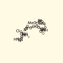 CCOc1cc(OC)ccc1CNCC(=O)N1CCCC(c2cccc(C(=O)N[C@@H](C(=O)NCCOCCOCCOCCOCCC(=O)N3CCN(CC[C@H](NC(=O)C4(N)CCN(c5ncnc6[nH]ccc56)CC4)c4ccc(Cl)cc4)CC3)C3CCCCC3)c2)C1